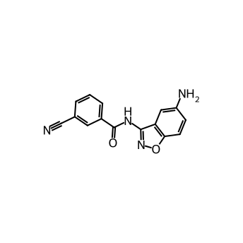 N#Cc1cccc(C(=O)Nc2noc3ccc(N)cc23)c1